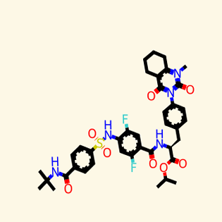 CC(C)OC(=O)[C@H](Cc1ccc(-n2c(=O)c3c(n(C)c2=O)CCCC3)cc1)NC(=O)c1cc(F)c(NS(=O)(=O)c2ccc(C(=O)NC(C)(C)C)cc2)cc1F